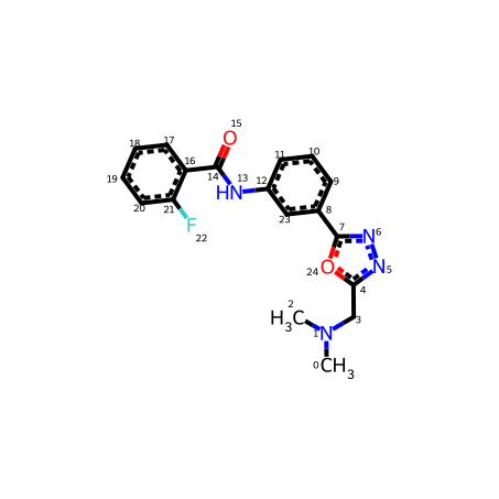 CN(C)Cc1nnc(-c2cccc(NC(=O)c3ccccc3F)c2)o1